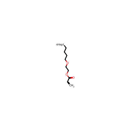 C=CC(=O)OCCOCCCCCCCCCCC